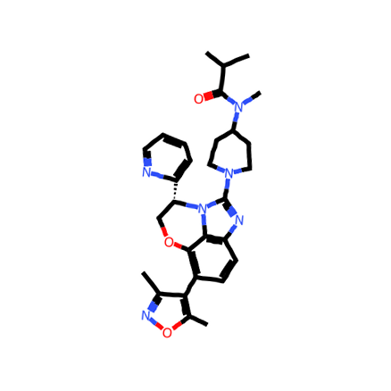 Cc1noc(C)c1-c1ccc2nc(N3CCC(N(C)C(=O)C(C)C)CC3)n3c2c1OC[C@@H]3c1ccccn1